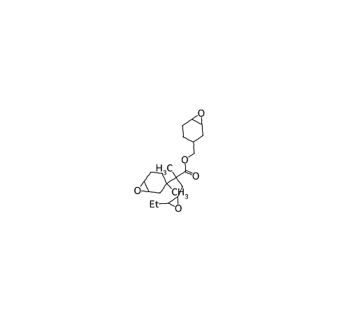 CCC1OC1CC(C)(C(=O)OCC1CCC2OC2C1)C1(C)CCC2OC2C1